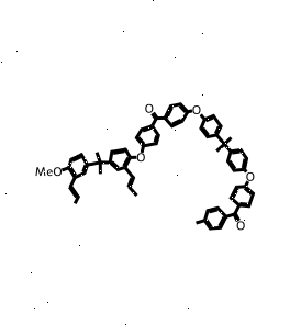 CC=Cc1cc(C(C)(C)c2ccc(Oc3ccc(C(=O)c4ccc(Oc5ccc(C(C)(C)c6ccc(Oc7ccc(C(=O)c8ccc(C)cc8)cc7)cc6)cc5)cc4)cc3)c(C=CC)c2)ccc1OC